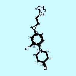 COCCOc1ccc(N2CCC(=O)CC2)c(F)c1